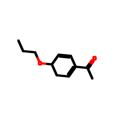 CCCOC1C=CC(C(C)=O)=CC1